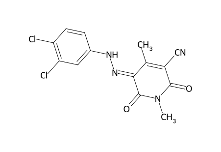 CC1=C(C#N)C(=O)N(C)C(=O)/C1=N/Nc1ccc(Cl)c(Cl)c1